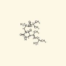 C/C(=N\OC(C)C)c1c[nH]c(=O)n(CC(C)NC(=O)C(C)C)c1=O